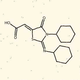 O=C(O)/C=C1\S/C(=N/C2CCCCC2)N(C2CCCCC2)C1=O